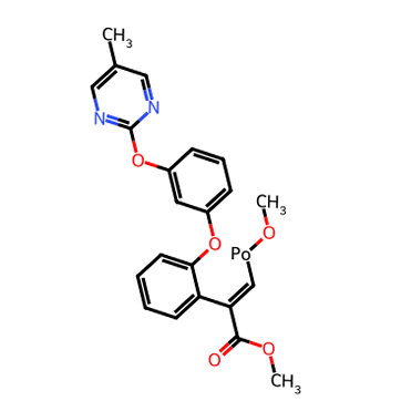 C[O][Po]/[CH]=C(/C(=O)OC)c1ccccc1Oc1cccc(Oc2ncc(C)cn2)c1